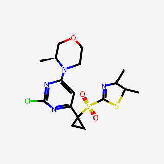 CC1N=C(S(=O)(=O)C2(c3cc(N4CCOC[C@@H]4C)nc(Cl)n3)CC2)SC1C